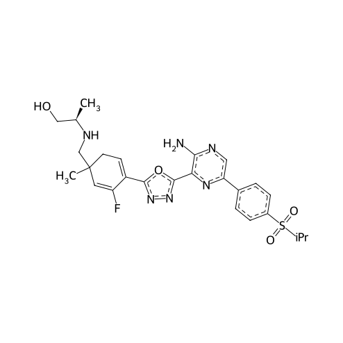 CC(C)S(=O)(=O)c1ccc(-c2cnc(N)c(-c3nnc(C4=CCC(C)(CN[C@H](C)CO)C=C4F)o3)n2)cc1